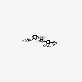 COc1cc(NC(=O)C(=O)Nc2cccc(CNC(=O)O)c2)ccc1-c1cnco1